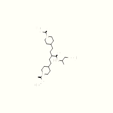 CC(CC(=O)O)NC(=O)C(CCC1CCN(C(=O)OC(C)(C)C)CC1)CCC1CCN(C(=O)OC(C)(C)C)CC1